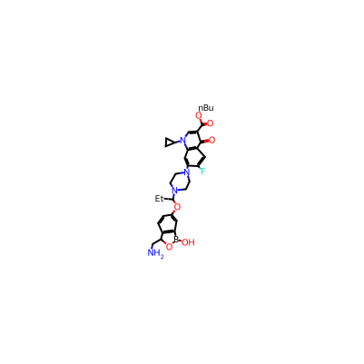 CCCCOC(=O)c1cn(C2CC2)c2cc(N3CCN(C(CC)Oc4ccc5c(c4)B(O)OC5CN)CC3)c(F)cc2c1=O